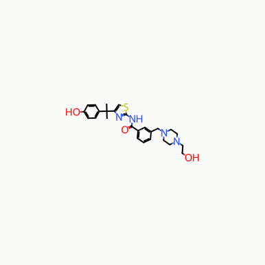 CC(C)(c1ccc(O)cc1)c1csc(NC(=O)c2cccc(CN3CCN(CCO)CC3)c2)n1